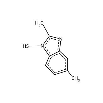 Cc1ccc2c(c1)nc(C)n2S